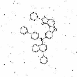 c1ccc(-c2ccc(N(c3ccc4oc5ccc6nc(-c7ccccc7)oc6c5c4c3)c3ccc(-c4ccccc4)c4ccccc34)cc2)cc1